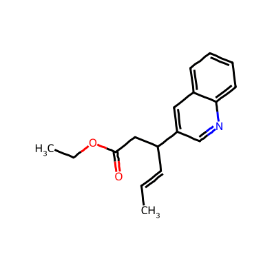 C/C=C/C(CC(=O)OCC)c1cnc2ccccc2c1